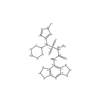 Cn1cnc(N(C2CCOCC2)S(=O)(=O)[NH+]([O-])C(=O)Nc2c3c(cc4c2CCC4)CCC3)c1